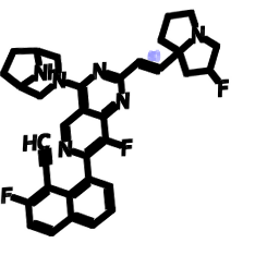 C#Cc1c(F)ccc2cccc(-c3ncc4c(N5CC6CCC(C5)N6)nc(/C=C/C56CCCN5CC(F)C6)nc4c3F)c12